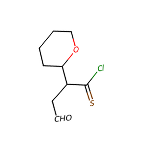 O=CCC(C(=S)Cl)C1CCCCO1